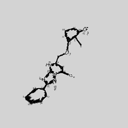 Cc1c(OCc2cc(=O)n3nc(-c4ccccc4)nc3[nH]2)cccc1C(F)(F)F